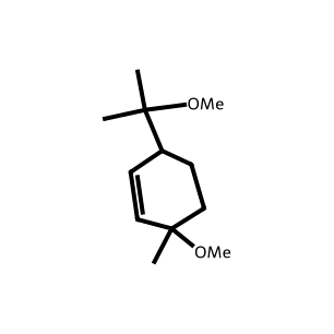 COC1(C)C=CC(C(C)(C)OC)CC1